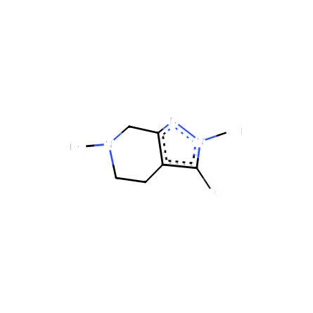 CC(C)c1c2c(nn1C)CN(C)CC2